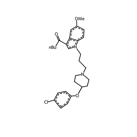 CCCCC(=O)c1cn(CCCN2CCC(Oc3ccc(Cl)cc3)CC2)c2ccc(OC)cc12